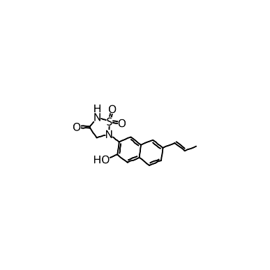 CC=Cc1ccc2cc(O)c(N3CC(=O)NS3(=O)=O)cc2c1